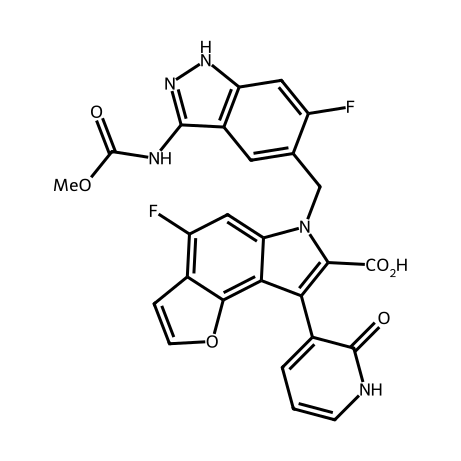 COC(=O)Nc1n[nH]c2cc(F)c(Cn3c(C(=O)O)c(-c4ccc[nH]c4=O)c4c5occc5c(F)cc43)cc12